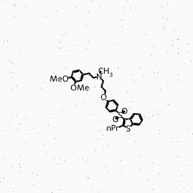 CCCc1sc2ccccc2c1S(=O)(=O)c1ccc(OCCCN(C)CCc2ccc(OC)c(OC)c2)cc1